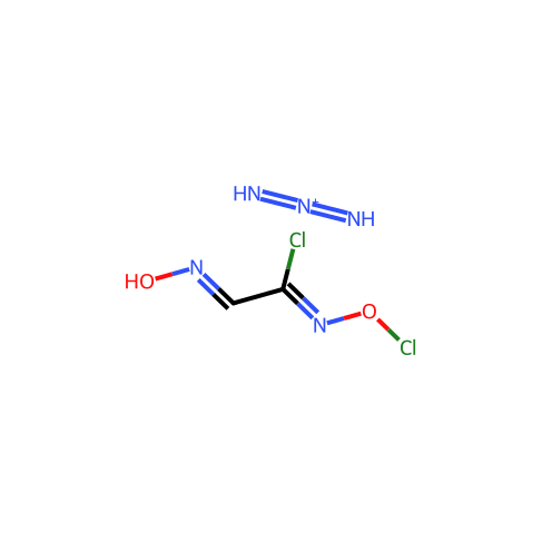 N=[N+]=N.ON=CC(Cl)=NOCl